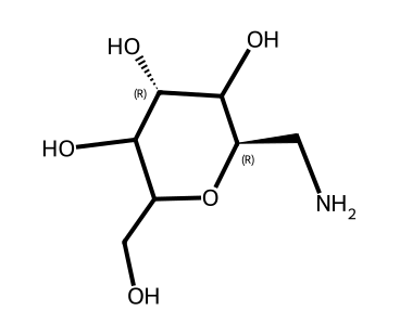 NC[C@H]1OC(CO)C(O)[C@H](O)C1O